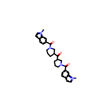 Cn1ccc2ccc(C(=O)N3CCCC(C(=O)C4CCCN(C(=O)c5ccc6ccn(C)c6c5)C4)C3)cc21